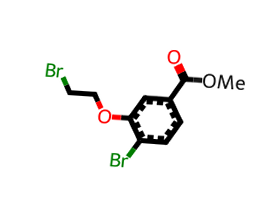 COC(=O)c1ccc(Br)c(OCCBr)c1